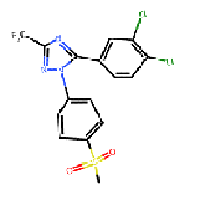 CS(=O)(=O)c1ccc(-n2nc(C(F)(F)F)nc2-c2ccc(Cl)c(Cl)c2)cc1